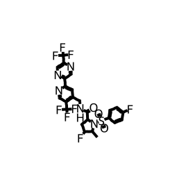 CC1C(F)CC(C(=O)NCc2cc(-c3cnc(C(F)(F)F)cn3)ncc2C(F)(F)F)N1S(=O)(=O)c1ccc(F)cc1